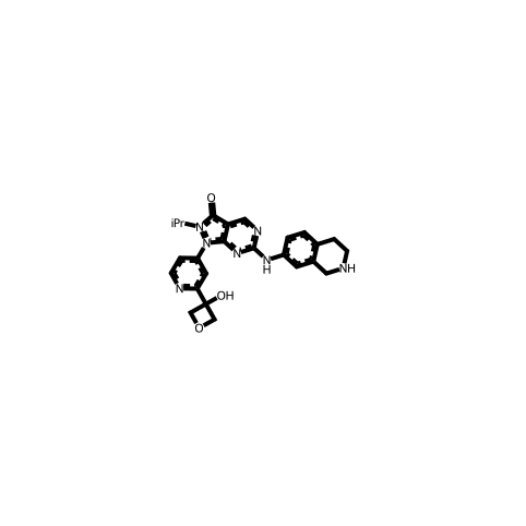 CC(C)n1c(=O)c2cnc(Nc3ccc4c(c3)CNCC4)nc2n1-c1ccnc(C2(O)COC2)c1